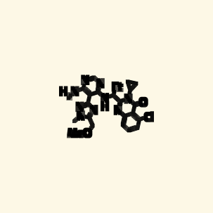 CC[C@H](Nc1ncnc(N)c1-c1nc(COC)n(C)n1)c1nc2cccc(Cl)c2c(=O)n1C1CC1